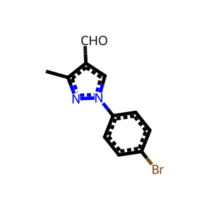 Cc1nn(-c2ccc(Br)cc2)cc1C=O